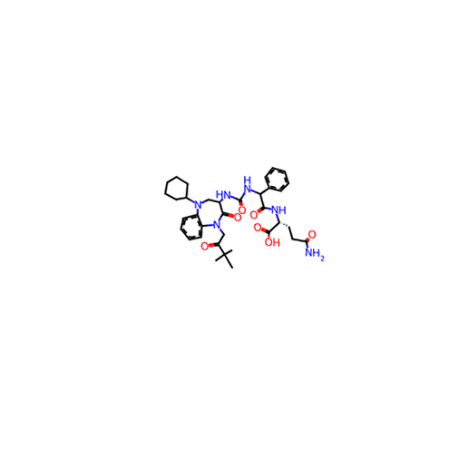 CC(C)(C)C(=O)CN1C(=O)[C@H](NC(=O)NC(C(=O)N[C@H](CCC(N)=O)C(=O)O)c2ccccc2)CN(C2CCCCC2)c2ccccc21